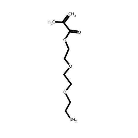 C=C(C)C(=O)OCCOCCOCCN